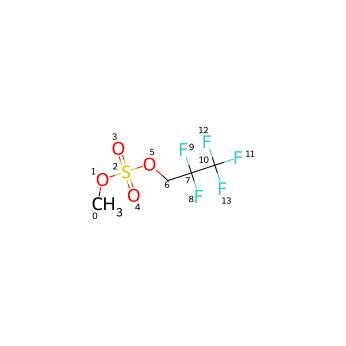 COS(=O)(=O)OCC(F)(F)C(F)(F)F